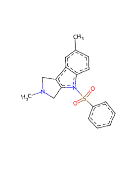 Cc1ccc2c(c1)c1c(n2S(=O)(=O)c2ccccc2)CN(C)C1